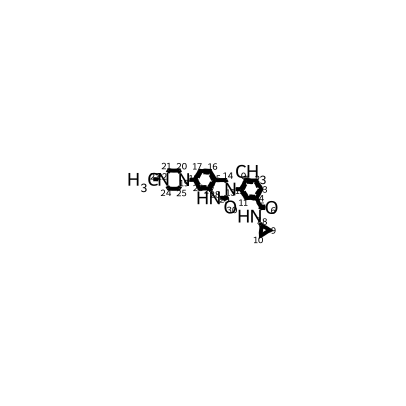 Cc1ccc(C(=O)NC2CC2)cc1N1Cc2ccc(N3CCN(C)CC3)cc2NC1=O